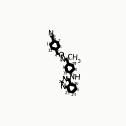 CC(=NOCc1ccc(C#N)cc1)c1ccc(Nc2ncnc3ccccc23)cc1